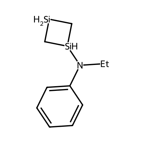 CCN(c1ccccc1)[SiH]1C[SiH2]C1